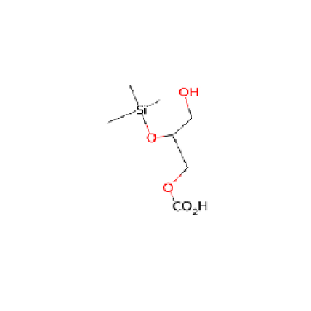 C[Si](C)(C)OC(CO)COC(=O)O